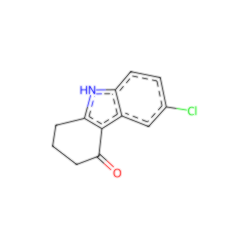 O=C1CCCc2[nH]c3ccc(Cl)cc3c21